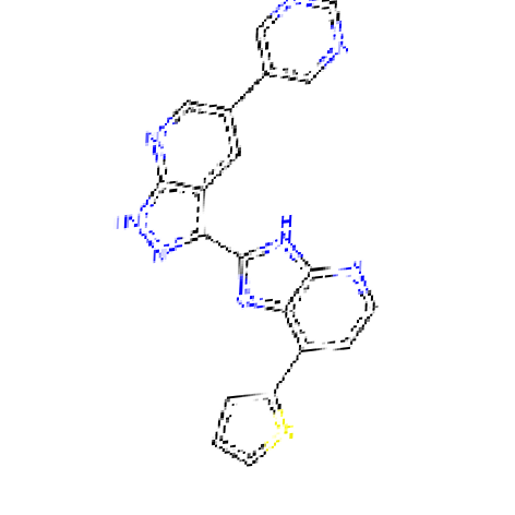 c1csc(-c2ccnc3[nH]c(-c4n[nH]c5ncc(-c6cncnc6)cc45)nc23)c1